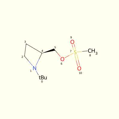 CC(C)(C)N1CC[C@H]1COS(C)(=O)=O